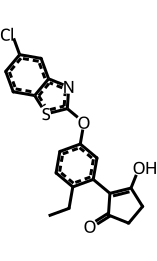 CCc1ccc(Oc2nc3cc(Cl)ccc3s2)cc1C1=C(O)CCC1=O